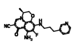 C[C@H]1COc2c(NCCCc3cccnc3)c(F)c(N)c3c(=O)c(C#N)cn1c23